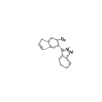 Brc1cc2c(cc1-n1nnc3ccccc31)C=CC2